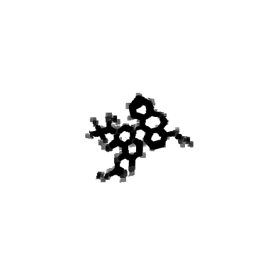 COc1cccc2c1CSc1ccccc1[C@H]2N1CN([C@H](C)C(F)(F)F)C(=O)c2c(OC(C)=O)c(=O)ccn21